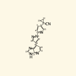 N#CC1(c2ccc(-n3cc(-c4ccnc5[nH]cnc45)cn3)nc2)CC1